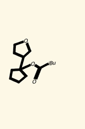 CCC(C)C(=O)OC1(C2CCOC2)CCCC1